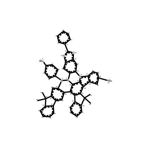 CC(C)(C)c1ccc(N2B3c4cc5nc(-c6ccccc6)oc5cc4-n4c5ccc(C(C)(C)C)cc5c5c6c(c(c3c54)-c3cc4c(cc32)C(C)(C)c2ccccc2-4)-c2ccccc2C6(C)C)cc1